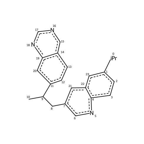 CC(C)c1ccc2ncc(CC(C)c3ccc4cncnc4c3)cc2c1